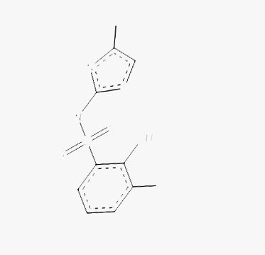 Cc1c(Cl)cccc1S(=O)(=O)Nc1nc(C=O)cs1